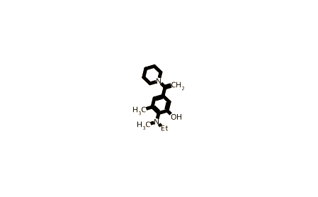 C=C(c1cc(C)c(N(C)CC)c(O)c1)N1CCCCC1